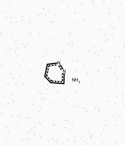 N.c1ccnnc1